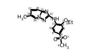 CCOc1cc(S(C)(=O)=O)ccc1Nc1nc2ccc(C)cn2n1